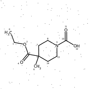 CCOC(=O)C1(C)CCN(C(=O)O)CC1